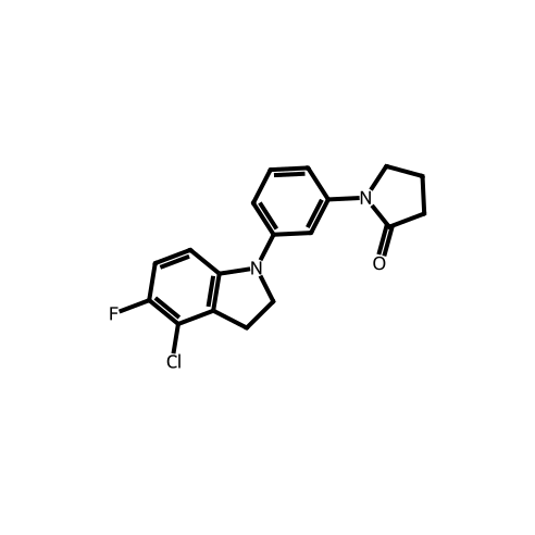 O=C1CCCN1c1cccc(N2CCc3c2ccc(F)c3Cl)c1